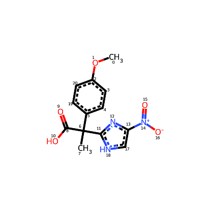 COc1ccc(C(C)(C(=O)O)c2nc([N+](=O)[O-])c[nH]2)cc1